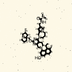 CCc1c(F)ccc2cc(O)cc(N3CCc4c(nc(OC[C@@]56CCCN5C[C@H](F)C6)nc4N4CCCn5nc(CNC(=O)N(C)C)cc5C4)C3)c12